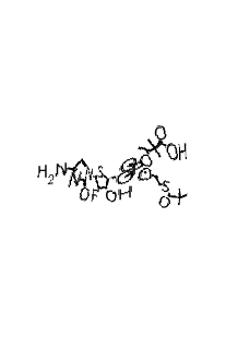 CC(OP(=O)(OCCSC(=O)C(C)(C)C)OC[C@H]1S[C@@H](n2ccc(N)nc2=O)[C@@H](F)[C@@H]1O)C(C)(C)C(=O)O